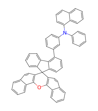 c1ccc(N(c2cccc(-c3cccc4c3-c3ccccc3C43c4ccc5ccccc5c4Oc4c3ccc3ccccc43)c2)c2cccc3ccccc23)cc1